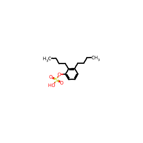 CCCCc1cccc(OS(=O)(=O)O)c1CCCC